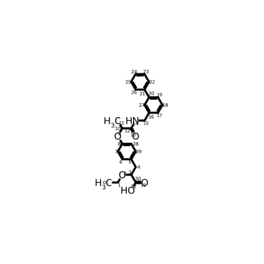 CCOC(Cc1ccc(OC(C)C(=O)NCc2cccc(-c3ccccc3)c2)cc1)C(=O)O